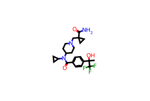 CC(O)(c1ccc(C(=O)N(C2CC2)C2CCN(CC3(C(N)=O)CC3)CC2)cc1)C(F)(F)F